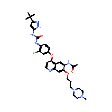 CC(=O)Nc1cc2c(Oc3ccc(NC(=O)Nc4cc(C(C)(C)C)n[nH]4)c(Cl)c3)ccnc2cc1OCCCN1CCN(C)CC1